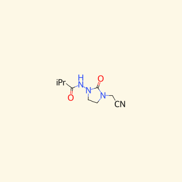 CC(C)C(=O)NN1CCN(CC#N)C1=O